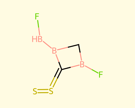 FBB1CB(F)C1=S=S